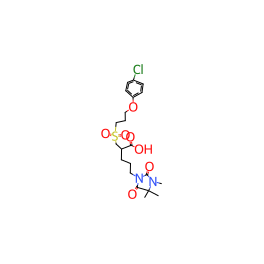 CN1C(=O)N(CCCC(CS(=O)(=O)CCCOc2ccc(Cl)cc2)C(=O)O)C(=O)C1(C)C